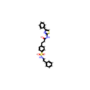 O=C(CCc1ccc(S(=O)(=O)NC=Cc2ccccc2)cc1)Nc1nc(-c2ccccc2)cs1